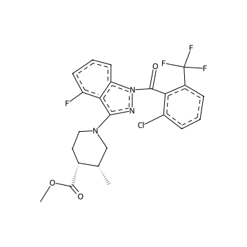 COC(=O)[C@@H]1CCN(c2nn(C(=O)c3c(Cl)cccc3C(F)(F)F)c3cccc(F)c23)C[C@@H]1C